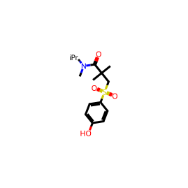 CC(C)N(C)C(=O)C(C)(C)CS(=O)(=O)c1ccc(O)cc1